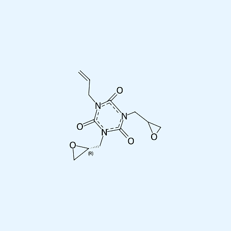 C=CCn1c(=O)n(CC2CO2)c(=O)n(C[C@@H]2CO2)c1=O